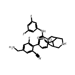 N#Cc1cc(CN)cc(F)c1-c1ccc(C2(O)C3CNCC2CN(C(=O)Nc2cc(F)cc(F)c2)C3)nc1